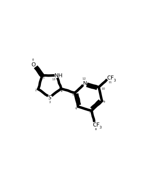 O=C1CSC(c2cc(C(F)(F)F)cc(C(F)(F)F)n2)N1